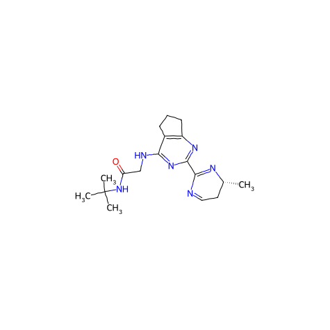 C[C@@H]1CC=NC(c2nc3c(c(NCC(=O)NC(C)(C)C)n2)CCC3)=N1